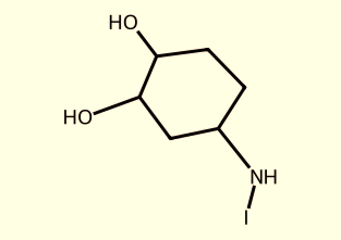 OC1CCC(NI)CC1O